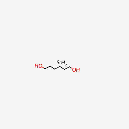 OCCCCCCO.[SrH2]